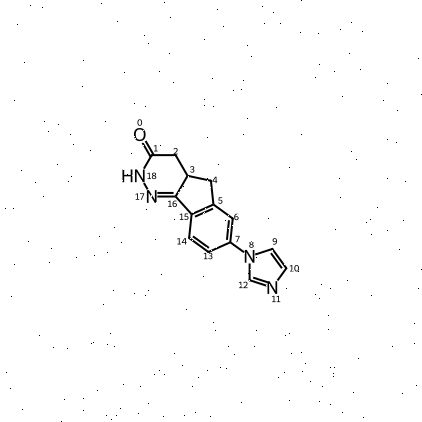 O=C1CC2Cc3cc(-n4ccnc4)ccc3C2=NN1